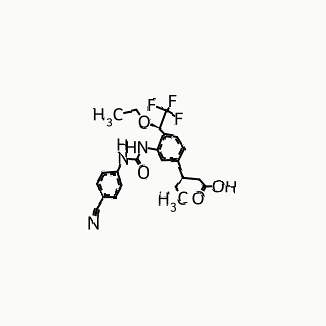 CCO[C@H](c1ccc([C@H](CC)CC(=O)O)cc1NC(=O)Nc1ccc(C#N)cc1)C(F)(F)F